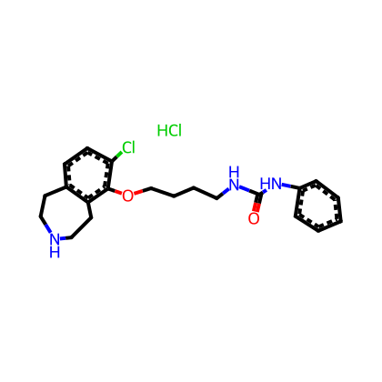 Cl.O=C(NCCCCOc1c(Cl)ccc2c1CCNCC2)Nc1ccccc1